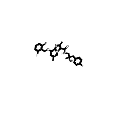 Cc1cc(OCc2c(F)cccc2F)c2nc(C)c(C(=O)NCC(C)(N)Cc3ccc(F)cc3)n2c1